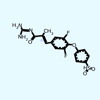 C/C(=C\c1cc(F)c(Oc2ccc([SH](=O)=O)cc2)c(F)c1)C(=O)N=C(N)N